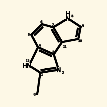 Cc1nc2c(ccc3[nH]ccc32)[nH]1